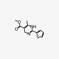 COC(=O)C1=C(C)NC(c2cccs2)=NC1